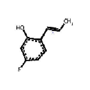 C/C=C/c1ccc(F)cc1O